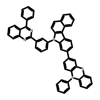 c1ccc(-c2nc(-c3cccc(-n4c5cc(-c6ccc7c(c6)Sc6ccccc6N7c6ccccc6)ccc5c5c6ccccc6ccc54)c3)nc3ccccc23)cc1